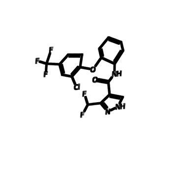 O=C(Nc1ccccc1Oc1ccc(C(F)(F)F)cc1Cl)c1c[nH]nc1C(F)F